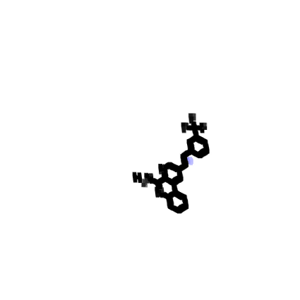 Nc1nc2ccccc2c2cc(/C=C/c3cccc(C(F)(F)F)c3)cnc12